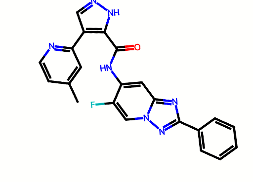 Cc1ccnc(-c2cn[nH]c2C(=O)Nc2cc3nc(-c4ccccc4)nn3cc2F)c1